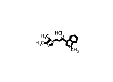 Cc1ncn(CCC(=O)c2cn(C)c3ccccc23)c1C.Cl